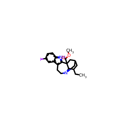 CCC1CC2CN3CCc4c([nH]c5ccc(I)cc45)C(C(=O)OC)(C2)C13